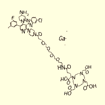 Cc1cc(F)cc(-c2cnc(N3CCN(C(=O)CCOCCOCCOCCOCCNC(=O)CCC(C(=O)O)N4CCN(CC(=O)O)CCN(CC(=O)O)CCN(CC(=O)O)CC4)CC3)c(-c3nc4cc(Cl)ccc4[nH]3)c2N2CCC(N)CC2)c1.[Ga]